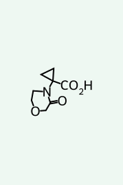 O=C1COCCN1C1(C(=O)O)CC1